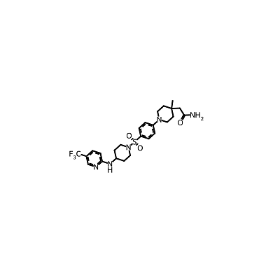 CC1(CC(N)=O)CCN(c2ccc(S(=O)(=O)N3CCC(Nc4ccc(C(F)(F)F)cn4)CC3)cc2)CC1